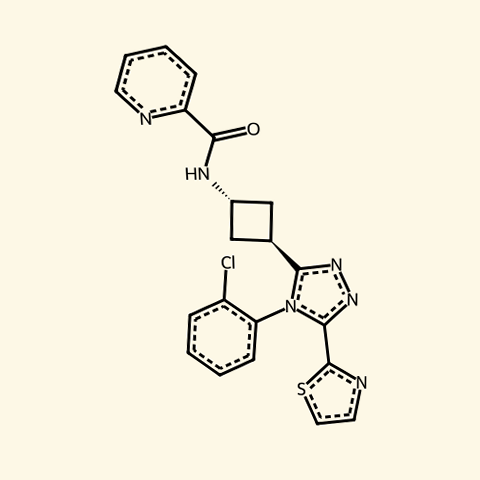 O=C(N[C@H]1C[C@H](c2nnc(-c3nccs3)n2-c2ccccc2Cl)C1)c1ccccn1